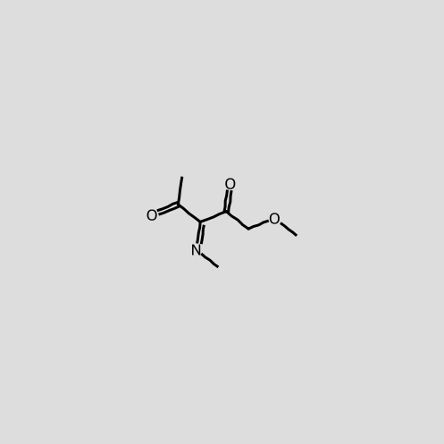 C/N=C(/C(C)=O)C(=O)COC